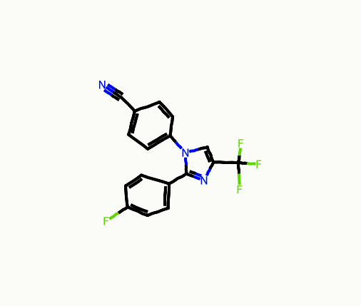 N#Cc1ccc(-n2cc(C(F)(F)F)nc2-c2ccc(F)cc2)cc1